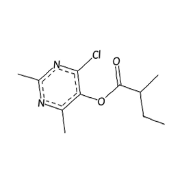 CCC(C)C(=O)Oc1c(C)nc(C)nc1Cl